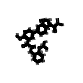 CNC(=O)c1n[nH]c2cc(-c3cnc(OC)c(C(=O)NCc4ccccc4OC(C)C)c3)ccc12